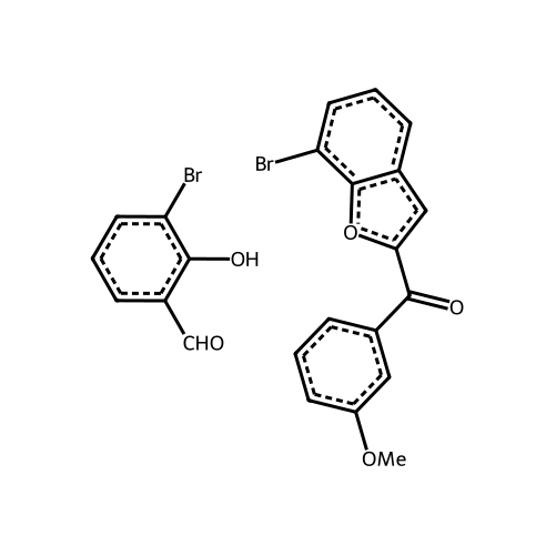 COc1cccc(C(=O)c2cc3cccc(Br)c3o2)c1.O=Cc1cccc(Br)c1O